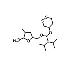 BC1OC(COP(OC2CCSSC2)N(C(C)C)C(C)C)CC1C